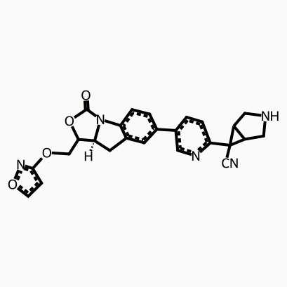 N#CC1(c2ccc(-c3ccc4c(c3)C[C@H]3C(COc5ccon5)OC(=O)N43)cn2)C2CNCC21